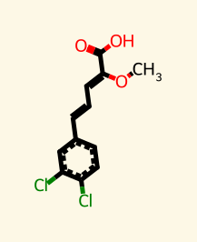 CO/C(=C\C=C\c1ccc(Cl)c(Cl)c1)C(=O)O